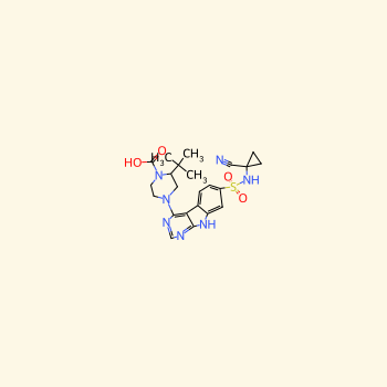 CC(C)(C)C1CN(c2ncnc3[nH]c4cc(S(=O)(=O)NC5(C#N)CC5)ccc4c23)CCN1C(=O)O